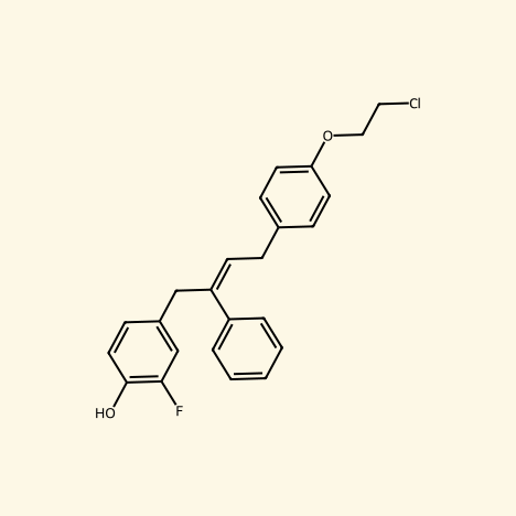 Oc1ccc(CC(=CCc2ccc(OCCCl)cc2)c2ccccc2)cc1F